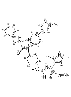 Cc1nc(C)c(-c2nc(N[C@H]3CC[C@H](N(C(=O)NCc4ccccc4)c4ccc(-c5cnn(C)c5)cn4)CC3)ncc2C#N)s1